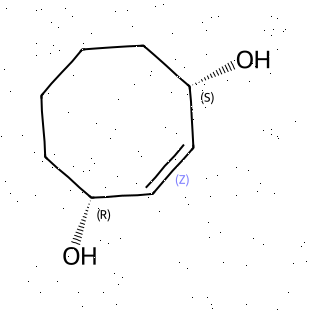 O[C@@H]1/C=C\[C@H](O)CCCC1